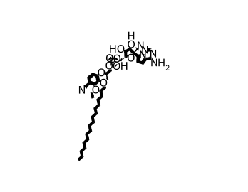 CCCCCCCCCCCCCCCCCCOC[C@H](COP(=O)(O)OC[C@H]1O[C@@](C#N)(c2ccc3c(N)ncnn23)[C@H](O)[C@@H]1O)Oc1ccc(C#N)c(OCC)c1